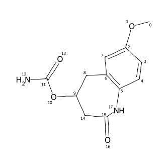 COc1ccc2c(c1)CC(OC(N)=O)CC(=O)N2